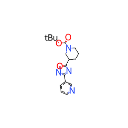 CC(C)(C)OC(=O)N1CCCC(c2nc(-c3cccnc3)no2)C1